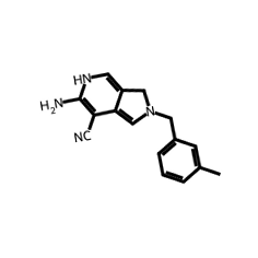 Cc1cccc(CN2C=C3C(=CNC(N)=C3C#N)C2)c1